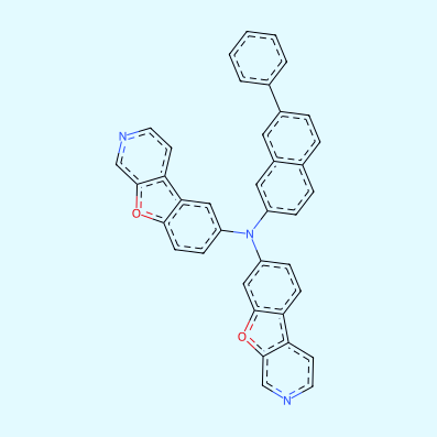 c1ccc(-c2ccc3ccc(N(c4ccc5c(c4)oc4cnccc45)c4ccc5oc6cnccc6c5c4)cc3c2)cc1